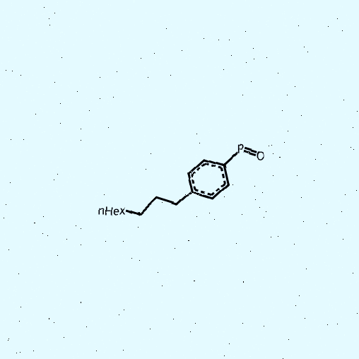 CCCCCCCCCc1ccc(P=O)cc1